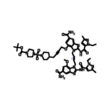 CCn1nc(C)cc1C(=O)Nc1nc2cc(C(N)=O)cc(OC)c2n1C/C=C/Cn1c(NC(=O)c2cc(C)nn2CC)nc2cc(C(N)=O)cc(OCC#CCC3CCN(S(=O)(=O)N4CCN(C(=O)OC(C)(C)C)CC4)CC3)c21